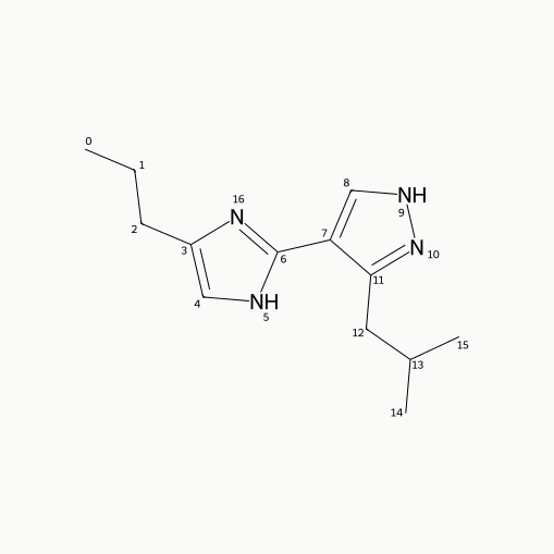 CCCc1c[nH]c(-c2c[nH]nc2CC(C)C)n1